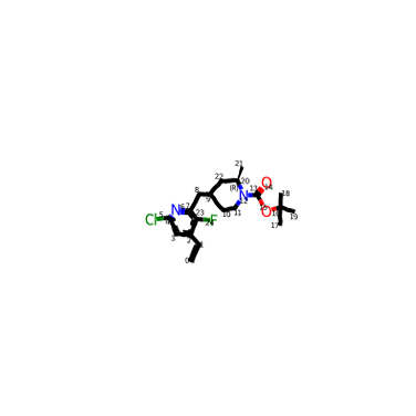 C=Cc1cc(Cl)nc(CC2CCN(C(=O)OC(C)(C)C)[C@H](C)C2)c1F